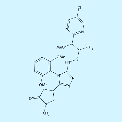 COc1cccc(OC)c1-n1c(NSC(C)C(OC)c2ncc(Cl)cn2)nnc1C1CC(=O)N(C)C1